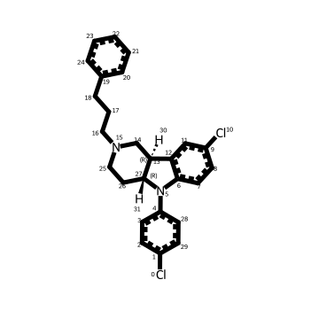 Clc1ccc(N2c3ccc(Cl)cc3[C@@H]3CN(CCCc4ccccc4)CC[C@H]32)cc1